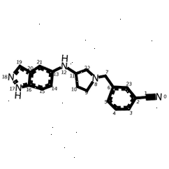 N#Cc1cccc(CN2CCC(Nc3ccc4[nH]ncc4c3)C2)c1